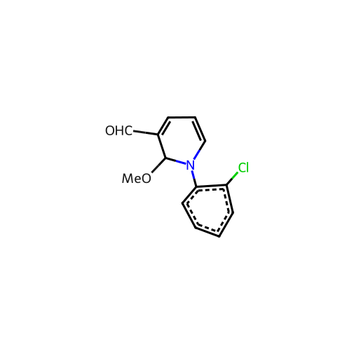 COC1C(C=O)=CC=CN1c1ccccc1Cl